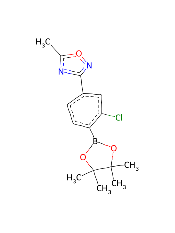 Cc1nc(-c2ccc(B3OC(C)(C)C(C)(C)O3)c(Cl)c2)no1